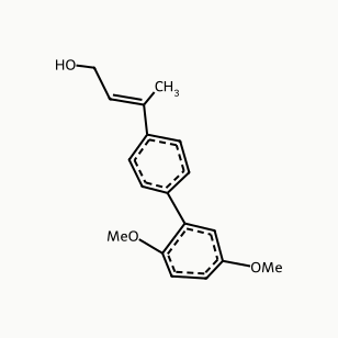 COc1ccc(OC)c(-c2ccc(C(C)=CCO)cc2)c1